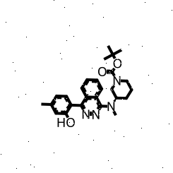 Cc1ccc(-c2nnc(N(C)[C@@H]3CCCN(C(=O)OC(C)(C)C)C3)c3ccccc23)c(O)c1